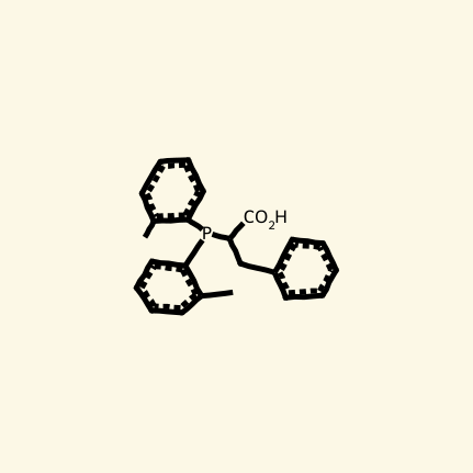 Cc1ccccc1P(c1ccccc1C)C(Cc1ccccc1)C(=O)O